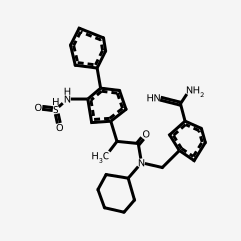 CC(C(=O)N(Cc1cccc(C(=N)N)c1)C1CCCCC1)c1ccc(-c2ccccc2)c(N[SH](=O)=O)c1